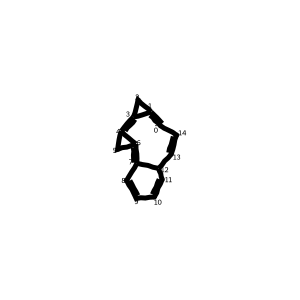 [C]1=C2\C\C2=C2/C/C2=C2/C=CC=CC2\C=C/1